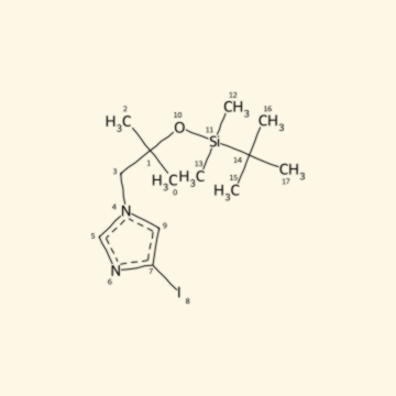 CC(C)(Cn1cnc(I)c1)O[Si](C)(C)C(C)(C)C